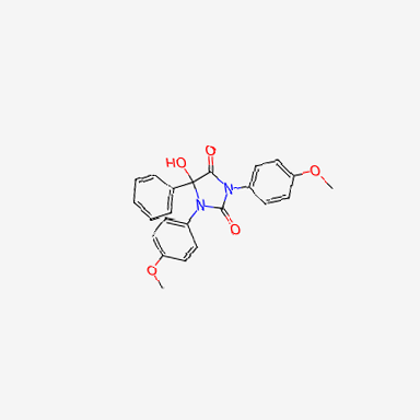 COc1ccc(N2C(=O)N(c3ccc(OC)cc3)C(O)(c3ccccc3)C2=O)cc1